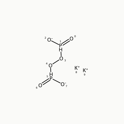 O=[PH]([O-])OO[PH](=O)[O-].[K+].[K+]